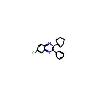 Clc1ccc2nc(C3=CCCCC3)c(-c3ccccc3)nc2c1